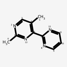 Cc1n[c]c(C)c(-c2ncccn2)n1